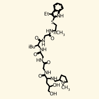 CCc1c(SC[C@@H](C)NC(=O)CNC(=O)C(NC(=O)CNC(=O)CNC(=O)C(CC(O)CO)NCC2CCCN2C)C(C)CC)[nH]c2ccccc12